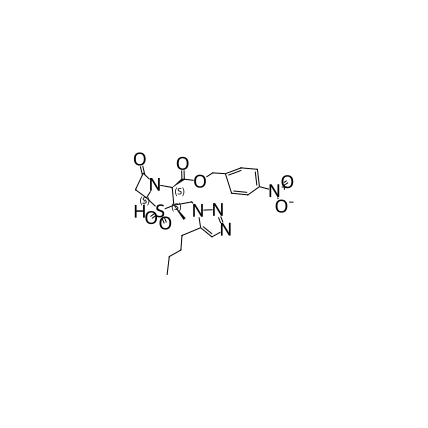 CCCCc1cnnn1C[C@@]1(C)[C@H](C(=O)OCc2ccc([N+](=O)[O-])cc2)N2C(=O)C[C@@H]2S1(=O)=O